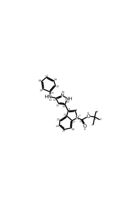 CC(C)(C)OC(=O)n1cc(-c2cc(Nc3ccccc3)n[nH]2)c2ccccc21